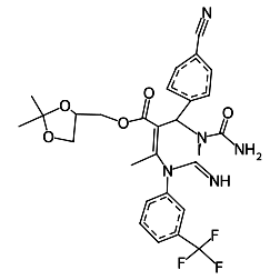 C/C(=C(\C(=O)OCC1COC(C)(C)O1)C(c1ccc(C#N)cc1)N(I)C(N)=O)N(C=N)c1cccc(C(F)(F)F)c1